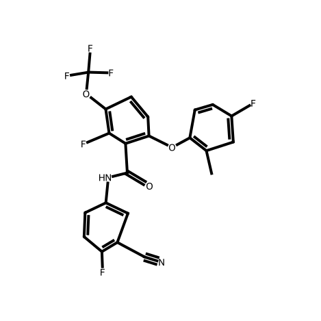 Cc1cc(F)ccc1Oc1ccc(OC(F)(F)F)c(F)c1C(=O)Nc1ccc(F)c(C#N)c1